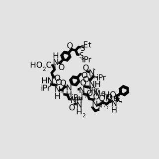 CCSCC(CSC(C)C)C(=O)c1ccc(C(=O)N[C@@H](CCC(=O)N[C@H](C(=O)N[C@@H](CCCNC(N)=O)C(=O)Nc2ccc(COC(=O)N(C)[C@H](C(=O)N[C@H](C(=O)N(C)[C@@H]([C@@H](C)CC)[C@@H](CC(=O)N3CCC[C@H]3[C@H](OC)[C@@H](C)C(=O)N[C@H](C)[C@@H](O)c3ccccc3)OC)C(C)C)C(C)C)cc2)C(C)C)C(=O)O)cc1